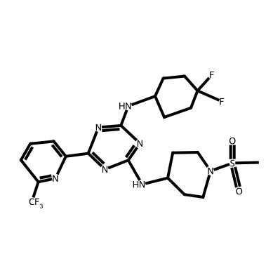 CS(=O)(=O)N1CCC(Nc2nc(NC3CCC(F)(F)CC3)nc(-c3cccc(C(F)(F)F)n3)n2)CC1